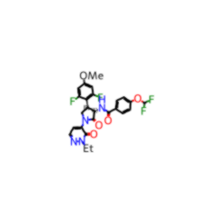 CCn1nccc(N2C[C@@H](c3c(F)cc(OC)cc3F)[C@H](NC(=O)c3ccc(OC(F)F)cc3)C2=O)c1=O